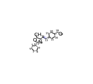 Cc1oc(-c2ccccc2)nc1/C=C/c1ccc(C=O)cc1